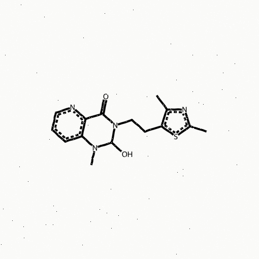 Cc1nc(C)c(CCN2C(=O)c3ncccc3N(C)C2O)s1